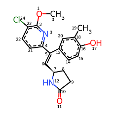 COc1nc(/C(=C/[C@H]2CCC(=O)N2)c2ccc(O)c(C)c2)ccc1Cl